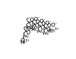 CC(=O)CC(=O)C(=O)[O-].CC(=O)CC(=O)C(=O)[O-].CC(=O)CC(=O)C(=O)[O-].CC(=O)CC(=O)C(=O)[O-].CC(=O)CC(=O)C(=O)[O-].[C]=O.[Ni+2].[Rh+3]